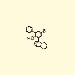 Oc1c(-c2ccccc2)cc(Br)cc1C12CCC(C1)C1CCCCC12